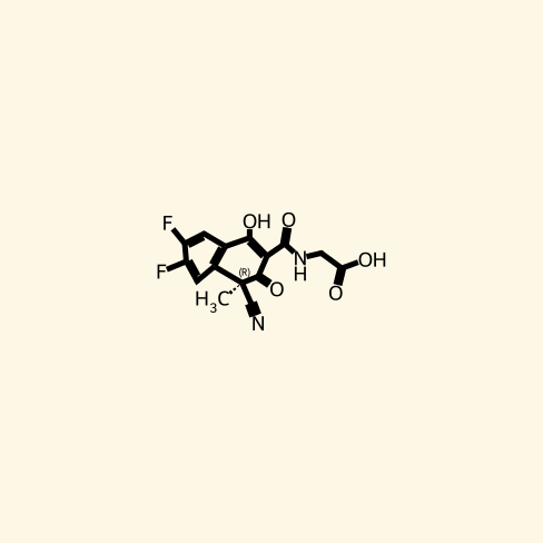 C[C@@]1(C#N)C(=O)C(C(=O)NCC(=O)O)=C(O)c2cc(F)c(F)cc21